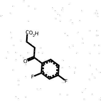 O=C(O)CCC(=O)c1ccc(F)cc1F